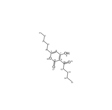 CCCCCc1cc(O)c(C(=O)CCCC)c(=O)o1